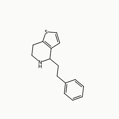 c1ccc(CCC2NCCc3sccc32)cc1